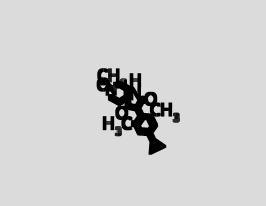 CON1CCC2(CC1)NC(=O)C(c1c(C)cc(C3CC3)cc1C)C2=O